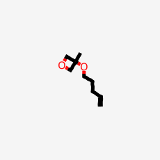 C=CCCCOC1(C)COC1